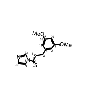 COc1cc(CSC(=S)n2ccnc2)cc(OC)c1